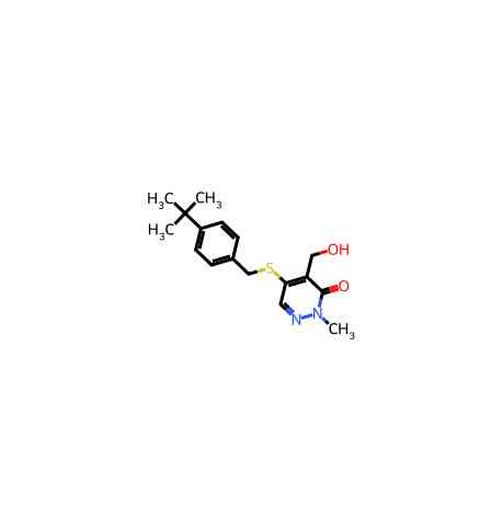 Cn1ncc(SCc2ccc(C(C)(C)C)cc2)c(CO)c1=O